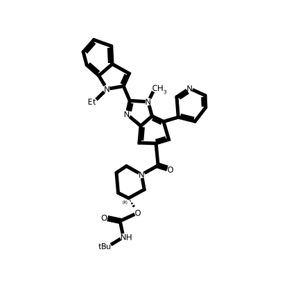 CCn1c(-c2nc3cc(C(=O)N4CCC[C@@H](OC(=O)NC(C)(C)C)C4)cc(-c4cccnc4)c3n2C)cc2ccccc21